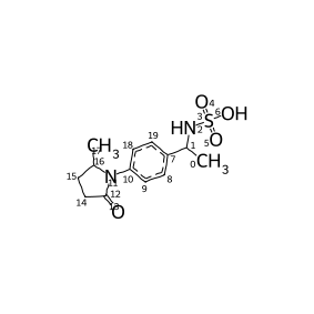 CC(NS(=O)(=O)O)c1ccc(N2C(=O)CCC2C)cc1